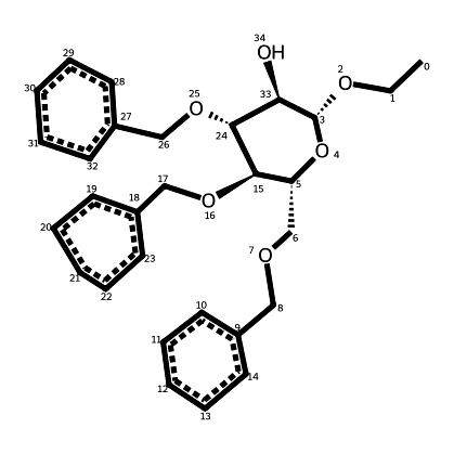 CCO[C@@H]1O[C@H](COCc2ccccc2)[C@@H](OCc2ccccc2)[C@H](OCc2ccccc2)[C@H]1O